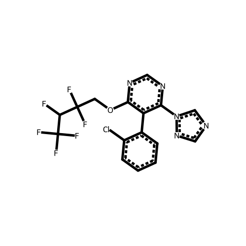 FC(C(F)(F)F)C(F)(F)COc1ncnc(-n2cncn2)c1-c1ccccc1Cl